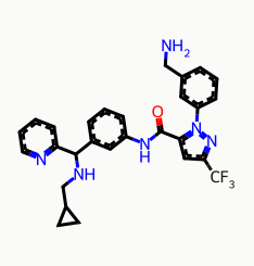 NCc1cccc(-n2nc(C(F)(F)F)cc2C(=O)Nc2cccc(C(NCC3CC3)c3ccccn3)c2)c1